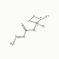 CC=CC(=O)O[N+]1([O-])CCC1F